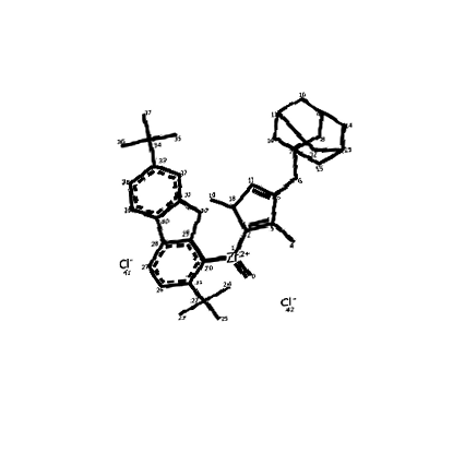 [CH2]=[Zr+2]([C]1=C(C)C(CC23CC4CC(CC(C4)C2)C3)=CC1C)[c]1c(C(C)(C)C)ccc2c1Cc1cc(C(C)(C)C)ccc1-2.[Cl-].[Cl-]